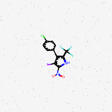 O=[N+]([O-])c1[nH]c(C(F)(F)F)c(-c2ccc(Cl)cc2)c1I